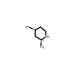 CC(C)[C@H]1CCN[C@@H](C)C1